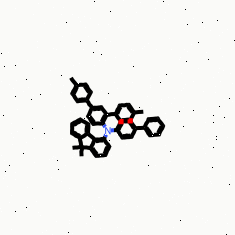 Cc1ccc(-c2ccc(N(c3ccc(-c4ccccc4)cc3)c3cccc4c3-c3ccccc3C4(C)C)c(-c3ccc(C)cc3)c2)cc1